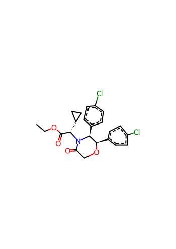 CCOC(=O)[C@H](C1CC1)N1C(=O)CO[C@H](c2ccc(Cl)cc2)[C@@H]1c1ccc(Cl)cc1